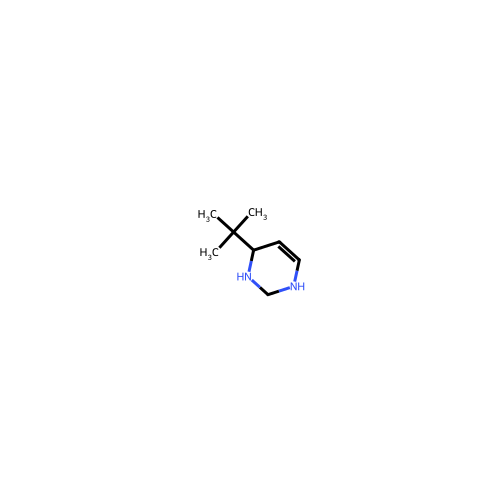 CC(C)(C)C1C=CNCN1